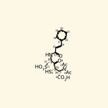 CC(=O)N(C(C)=O)[C@H](C(=O)O)[C@H](S)C(=O)[C@H](CS(=O)(=O)O)NC(=O)C=Cc1ccccc1